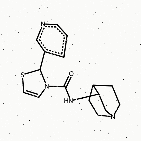 O=C(NC1CN2CCC1CC2)N1C=CSC1c1cccnc1